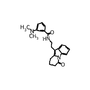 CN(C)c1cccc(C(=O)NCCc2c3n(c4ccccc24)C(=O)CCC3)c1